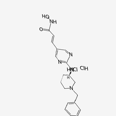 Cl.Cl.O=C(C=Cc1cnc(N[C@@H]2CCCN(Cc3ccccc3)C2)nc1)NO